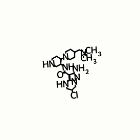 CN(C)CC1CCN(C2CCNCC2NC(=O)c2c(N)nn3c2NCC(Cl)C3)CC1